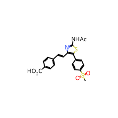 CC(=O)Nc1nc(C=Cc2ccc(C(=O)O)cc2)c(-c2ccc(S(C)(=O)=O)cc2)s1